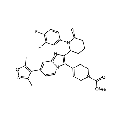 COC(=O)N1CC=C(c2c(C3CCCC(=O)N3c3ccc(F)c(F)c3)nc3cc(-c4c(C)noc4C)ccn23)CC1